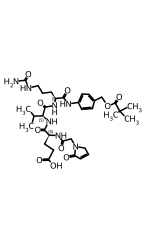 CC(C)[C@H](NC(=O)[C@H](CCC(=O)O)NC(=O)CN1CC=CC1=O)C(=O)N[C@@H](CCCNC(N)=O)C(=O)Nc1ccc(COC(=O)C(C)(C)C)cc1